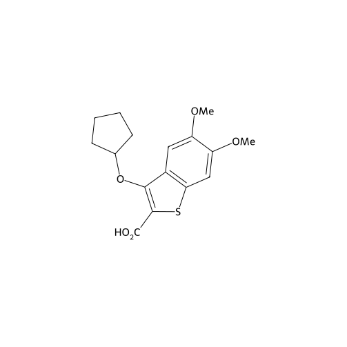 COc1cc2sc(C(=O)O)c(OC3CCCC3)c2cc1OC